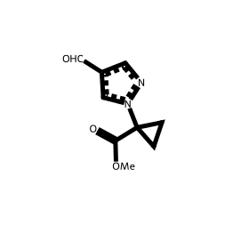 COC(=O)C1(n2cc(C=O)cn2)CC1